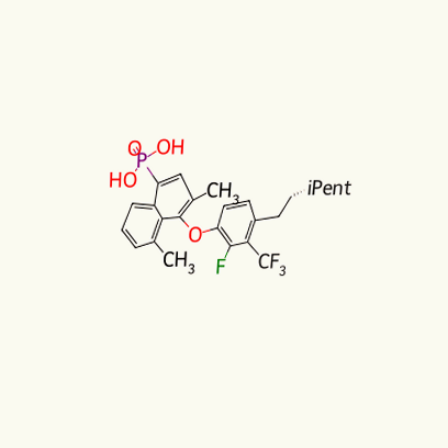 CCC[C@@H](C)CCc1ccc(Oc2c(C)cc(P(=O)(O)O)c3cccc(C)c23)c(F)c1C(F)(F)F